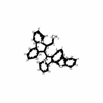 C=CC1C(C2c3ccc4c(oc5ccccc54)c3-c3cccc[n+]32)c2ccccc2-c2cccc[n+]21